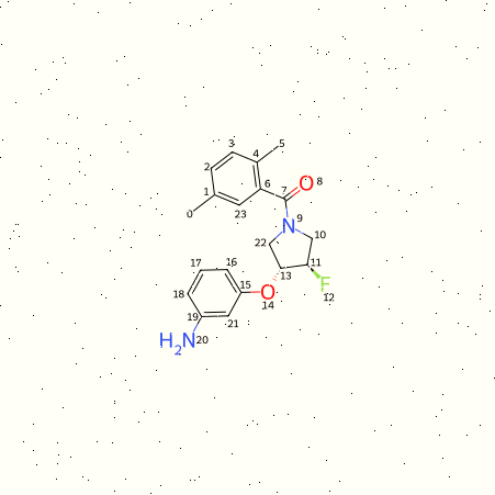 Cc1ccc(C)c(C(=O)N2C[C@@H](F)[C@H](Oc3cccc(N)c3)C2)c1